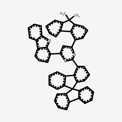 CC1(C)c2ccccc2-c2c(-c3cc(-c4cccc5c4oc4ccccc45)nc(-c4cccc5c4-c4ccccc4C54c5ccccc5-c5ccccc54)n3)cccc21